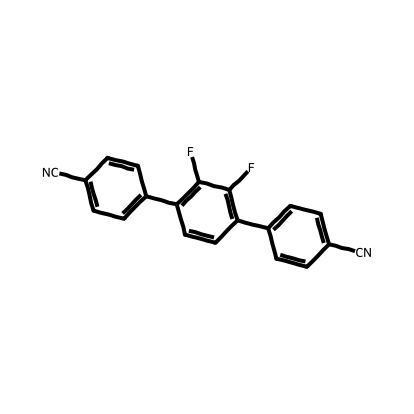 N#Cc1ccc(-c2ccc(-c3ccc(C#N)cc3)c(F)c2F)cc1